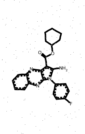 Nc1c(C(=O)OC2CCCCC2)c2nc3ccccc3nc2n1-c1ccc(F)cc1